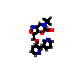 CC(C)(C)N(CC1=NOC(COc2cccnc2-c2cccnc2)C1)C(=O)O